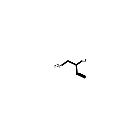 [Li][CH](C=C)CCCC